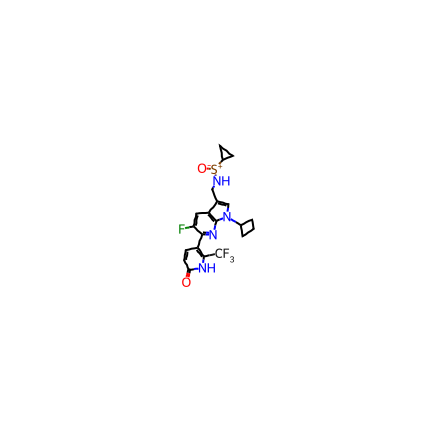 O=c1ccc(-c2nc3c(cc2F)c(CN[S+]([O-])C2CC2)cn3C2CCC2)c(C(F)(F)F)[nH]1